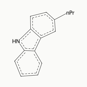 CCCc1ccc2[nH]c3ccccc3c2c1